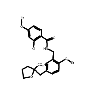 CCOc1ccc(C(=O)NCc2cc(CC3(C(=O)O)CCCO3)ccc2OCC)c(Cl)c1